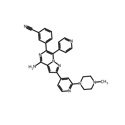 CN1CCN(c2cc(-c3cc4c(N)nc(-c5cccc(C#N)c5)c(-c5ccncc5)n4n3)ccn2)CC1